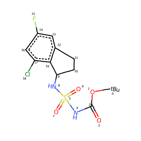 CC(C)(C)OC(=O)NS(=O)(=O)NC1CCc2cc(F)cc(Cl)c21